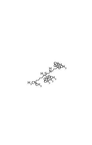 CO[Si](C)(CCCNC[SiH2]C(CCCCCN(C)C)[Si](C)(OC)OC)OC